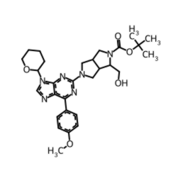 COc1ccc(-c2nc(N3CC4CN(C(=O)OC(C)(C)C)C(CO)C4C3)nc3c2ncn3C2CCCCO2)cc1